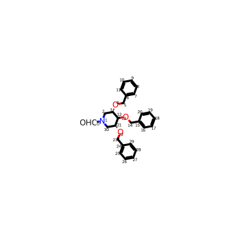 O=CN1C[C@H](OCc2ccccc2)C(OCc2ccccc2)[C@H](OCc2ccccc2)C1